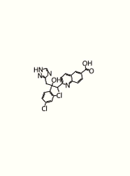 CC(c1ccc2cc(C(=O)O)ccc2n1)C(O)(Cc1nc[nH]n1)c1ccc(Cl)cc1Cl